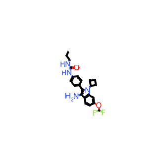 CCCNC(=O)Nc1ccc(-c2c(N)c3ccc(OC(F)F)cc3n2C2CCC2)cc1